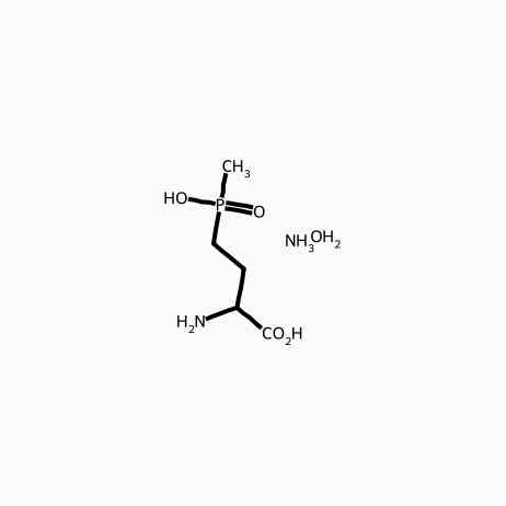 CP(=O)(O)CCC(N)C(=O)O.N.O